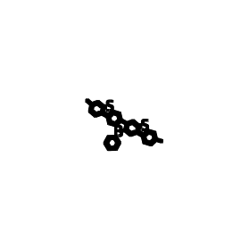 Cc1ccc2c(c1)sc1cc3c(cc12)B(c1ccccc1)c1cc2c(cc1-3)sc1cc(C)ccc12